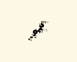 COc1ccc(-c2cc(-c3cccc(C(=O)NCCN(C)C)c3)cnc2N)cn1